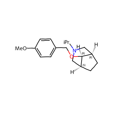 COc1ccc(CO[C@H]2[C@@H]3CC[C@H]2CN(C(C)C)C3)cc1